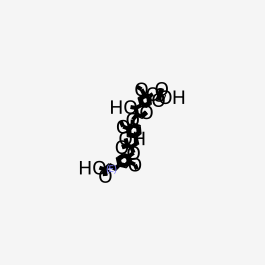 COc1cc(/C=C/C(=O)O)ccc1OC(Cc1ccc(OC(C=O)C(O)c2ccc(OS(=O)(=O)O)c(OC)c2)c(OC)c1)C(=O)O